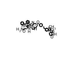 Cn1c(=O)n(C2CCC(=O)NC2=O)c2ccc(CC[C@H]3CC[C@H](C(=O)N4CC[C@H]5CC[C@@H](C(=O)N[C@@H](CCC(N)=O)C(=O)NC(c6ccccc6)c6ccccc6)N5C(=O)[C@@H](N)C4)CC3)cc21